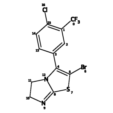 FC(F)(F)c1cc(C2=C(Br)SC3=NCCN32)ccc1Cl